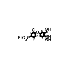 CCOC(=O)c1cc(Cl)c(Oc2ccc(BO)c(CO)c2)cc1F